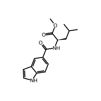 COC(=O)[C@@H](CC(C)C)NC(=O)c1ccc2[nH]ccc2c1